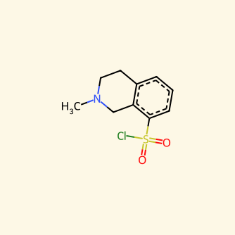 CN1CCc2cccc(S(=O)(=O)Cl)c2C1